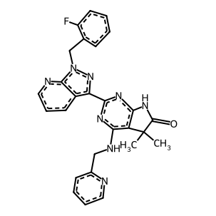 CC1(C)C(=O)Nc2nc(-c3nn(Cc4ccccc4F)c4ncccc34)nc(NCc3ccccn3)c21